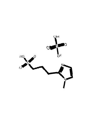 Cn1ccnc1CCCS(=O)(=O)O.O=S(=O)(O)O